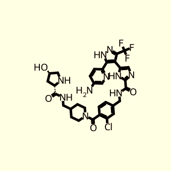 Nc1ccc(-c2[nH]nc(C(F)(F)F)c2-c2cnc(C(=O)NCc3ccc(C(=O)N4CCC(CNC(=O)[C@@H]5C[C@@H](O)CN5)CC4)c(Cl)c3)[nH]2)nc1